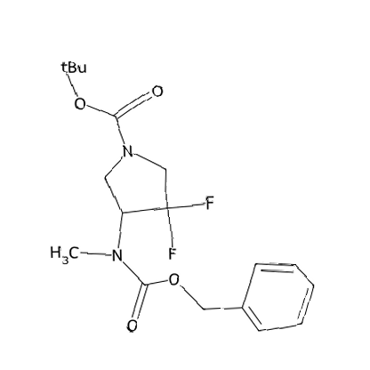 CN(C(=O)OCc1ccccc1)C1CN(C(=O)OC(C)(C)C)CC1(F)F